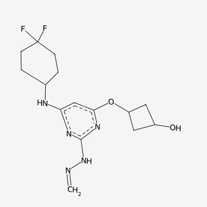 C=NNc1nc(NC2CCC(F)(F)CC2)cc(OC2CC(O)C2)n1